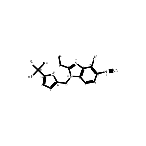 [C-]#[N+]c1ccc2c(nc(CC)n2Cc2ccc(C(F)(F)F)o2)c1Cl